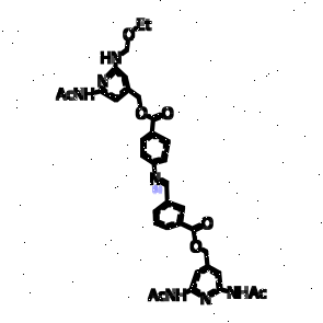 CCOCNc1cc(COC(=O)c2ccc(/N=C/c3cccc(C(=O)OCc4cc(NC(C)=O)nc(NC(C)=O)c4)c3)cc2)cc(NC(C)=O)n1